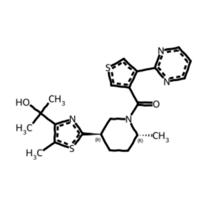 Cc1sc([C@@H]2CC[C@@H](C)N(C(=O)c3cscc3-c3ncccn3)C2)nc1C(C)(C)O